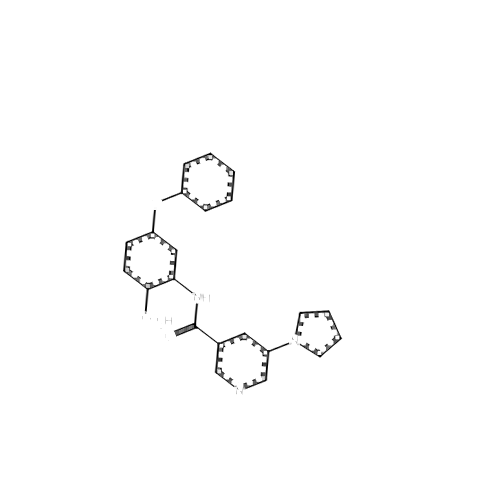 O=C(Nc1cc(Oc2ccccc2)ccc1C(=O)O)c1cncc(-n2cccc2)c1